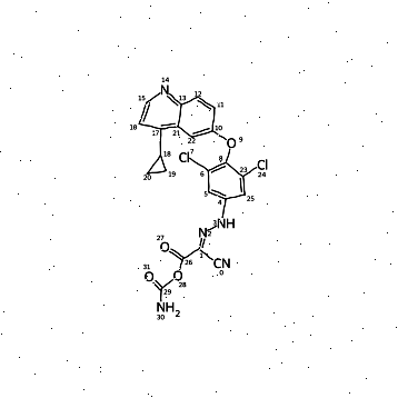 N#C/C(=N\Nc1cc(Cl)c(Oc2ccc3nccc(C4CC4)c3c2)c(Cl)c1)C(=O)OC(N)=O